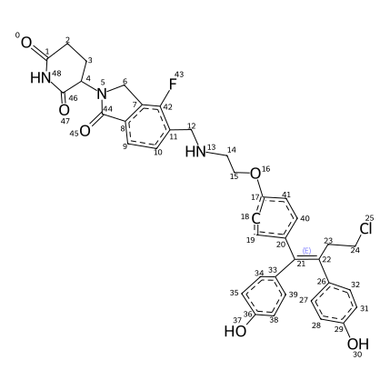 O=C1CCC(N2Cc3c(ccc(CNCCOc4ccc(/C(=C(\CCCl)c5ccc(O)cc5)c5ccc(O)cc5)cc4)c3F)C2=O)C(=O)N1